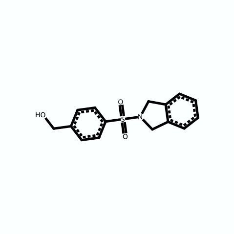 O=S(=O)(c1ccc(CO)cc1)N1Cc2ccccc2C1